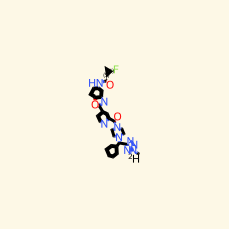 [2H]Cn1nnc(C(c2ccccc2)N2CCN(C(=O)c3cc(-c4nc5cc(NC(=O)[C@@H]6C[C@@H]6F)ccc5o4)ccn3)CC2)n1